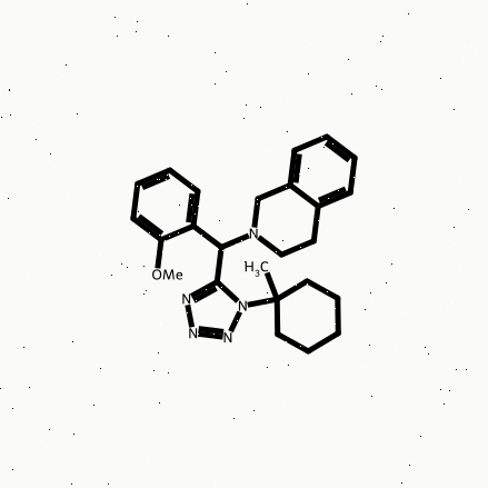 COc1ccccc1C(c1nnnn1C1(C)CCCCC1)N1CCc2ccccc2C1